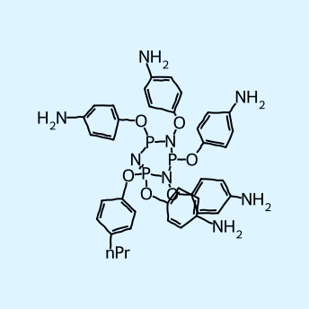 CCCc1ccc(OP2(Oc3ccc(N)cc3)=NP(Oc3ccc(N)cc3)N(Oc3ccc(N)cc3)P(Oc3ccc(N)cc3)N2Oc2ccc(N)cc2)cc1